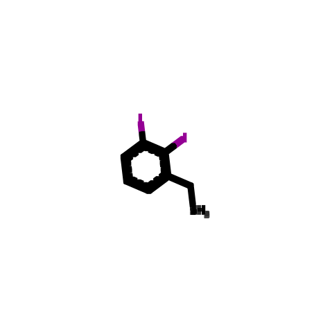 [SiH3]Cc1cccc(I)c1I